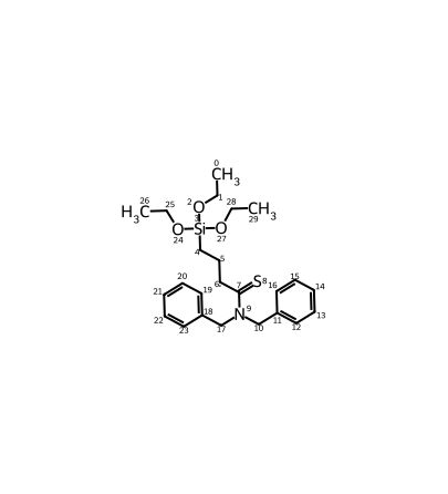 CCO[Si](CC[CH]C(=S)N(Cc1ccccc1)Cc1ccccc1)(OCC)OCC